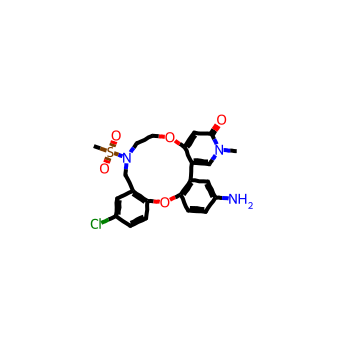 Cn1cc2c(cc1=O)OCCN(S(C)(=O)=O)Cc1cc(Cl)ccc1Oc1ccc(N)cc1-2